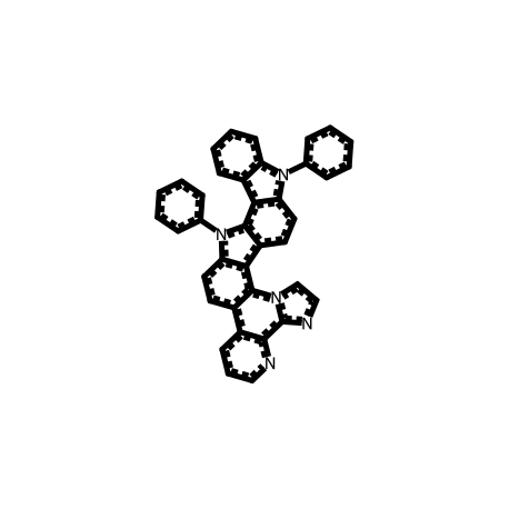 c1ccc(-n2c3ccccc3c3c2ccc2c4c(ccc5c6cccnc6c6nccn6c54)n(-c4ccccc4)c23)cc1